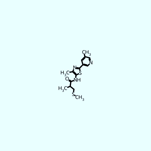 CSCC(C)C(=O)Nc1sc(-c2cncc(C)c2)nc1C